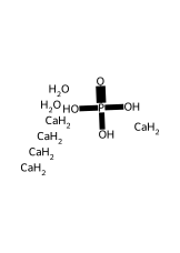 O.O.O=P(O)(O)O.[CaH2].[CaH2].[CaH2].[CaH2].[CaH2]